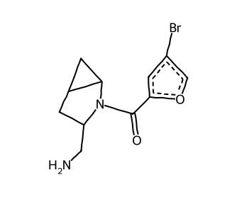 NCC1CC2CC2N1C(=O)c1cc(Br)co1